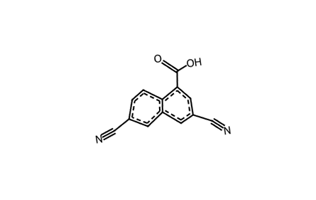 N#Cc1ccc2c(C(=O)O)cc(C#N)cc2c1